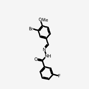 COc1ccc(/C=N/NC(=O)c2cccc(F)c2)cc1Br